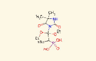 CCCCC(C(OCC)(OCC)N1C(=O)NC(C)(C)C1=O)P(=O)(O)O